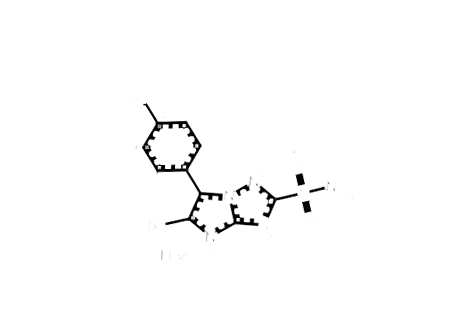 Br.NS(=O)(=O)c1nn2c(-c3ccc(Cl)cc3)c(Br)nc2s1